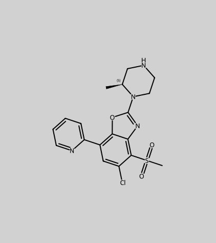 C[C@H]1CNCCN1c1nc2c(S(C)(=O)=O)c(Cl)cc(-c3ccccn3)c2o1